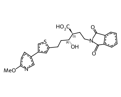 COc1ccc(-c2csc(CC[C@@H](O)[C@H](CCN3C(=O)c4ccccc4C3=O)C(=O)O)c2)cn1